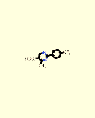 CCOC(=O)c1cnc(-c2ccc(C(F)(F)F)cc2)nc1C